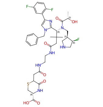 C[C@H](O)C(=O)N(C[C@@H]1CNC[C@@H]1F)[C@@H](c1nc(-c2cc(F)ccc2F)cn1Cc1ccccc1)C(C)(C)CC(=O)NCCNC(=O)CC1SC[C@@H](C(=O)O)NC1=O